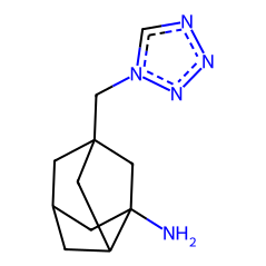 NC12CC3CC1CC(Cn1cnnn1)(C3)C2